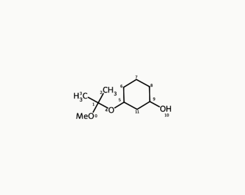 COC(C)(C)OC1CCCC(O)C1